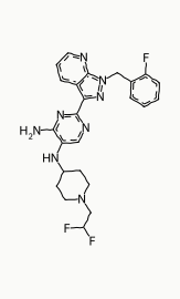 Nc1nc(-c2nn(Cc3ccccc3F)c3ncccc23)ncc1NC1CCN(CC(F)F)CC1